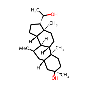 CO[C@@H]1C[C@H]2C[C@](C)(O)CC[C@]2(C)[C@H]2CC[C@]3(C)[C@@H](C(C)O)CC[C@H]3[C@H]12